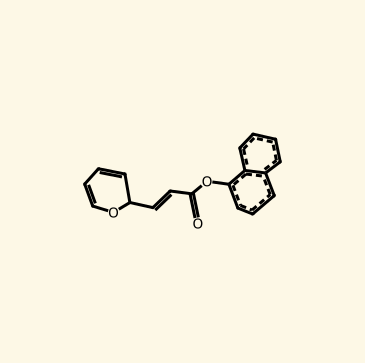 O=C(C=CC1C=CC=CO1)Oc1cccc2ccccc12